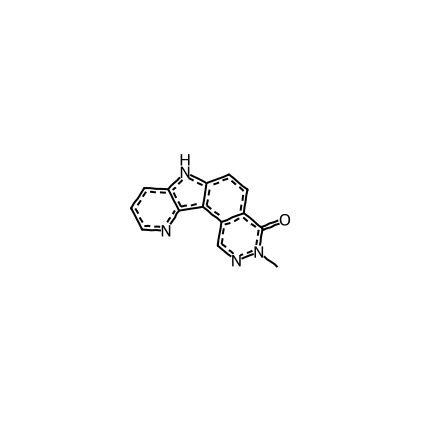 Cn1ncc2c(ccc3[nH]c4cccnc4c32)c1=O